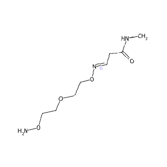 CNC(=O)C/C=N/OCCOCCON